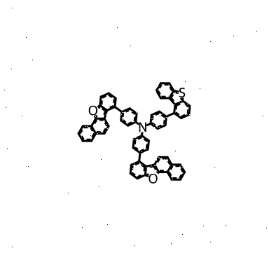 c1ccc2c(c1)ccc1c2oc2cccc(-c3ccc(N(c4ccc(-c5cccc6oc7c8ccccc8ccc7c56)cc4)c4ccc(-c5cccc6sc7ccccc7c56)cc4)cc3)c21